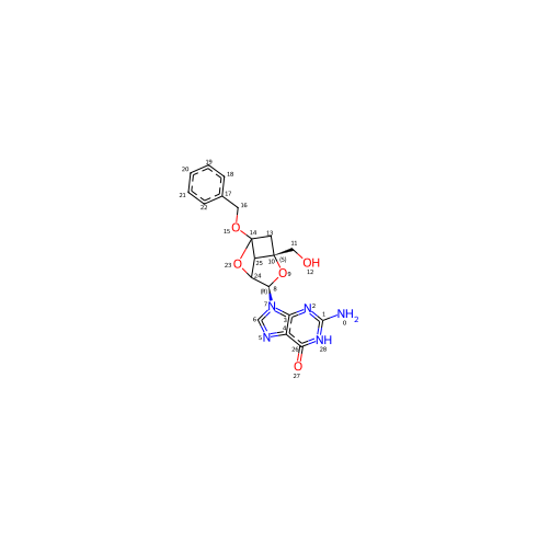 Nc1nc2c(ncn2[C@@H]2O[C@@]3(CO)CC4(OCc5ccccc5)OC2C43)c(=O)[nH]1